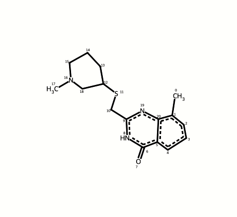 Cc1cccc2c(=O)[nH]c(CSC3CCCN(C)C3)nc12